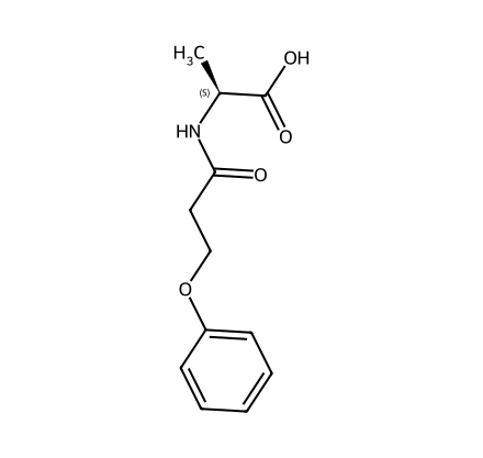 C[C@H](NC(=O)CCOc1ccccc1)C(=O)O